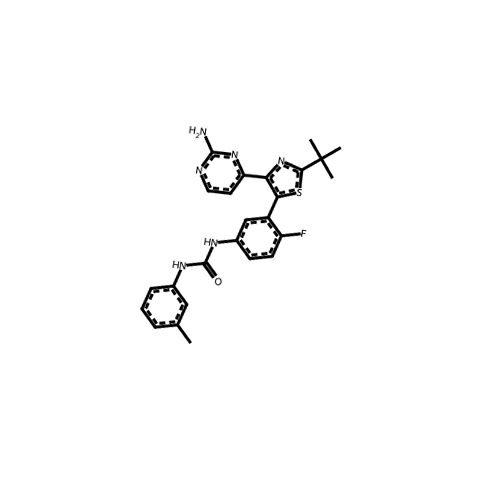 Cc1cccc(NC(=O)Nc2ccc(F)c(-c3sc(C(C)(C)C)nc3-c3ccnc(N)n3)c2)c1